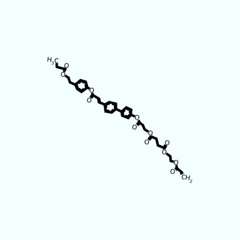 C=CC(=O)OCCOC(=O)CCC(=O)OCCC(=O)Oc1ccc(-c2ccc(/C=C/C(=O)Oc3ccc(CCOC(=O)CC)cc3)cc2)cc1